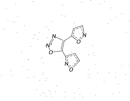 c1cc(C2=C(c3ccon3)O[N+]=N2)on1